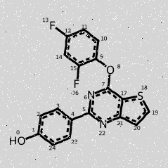 Oc1ccc(-c2nc(Oc3ccc(F)cc3F)c3sccc3n2)cc1